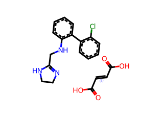 Clc1ccccc1-c1ccccc1NCC1=NCCN1.O=C(O)/C=C/C(=O)O